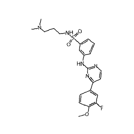 COc1ccc(-c2ccnc(Nc3cccc(S(=O)(=O)NCCCN(C)C)c3)n2)cc1F